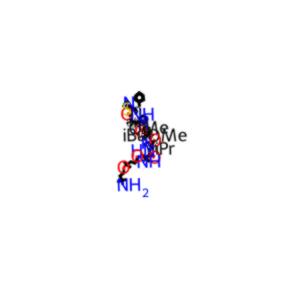 CC[C@H](C)[C@@H]([C@@H](CC(=O)N1CCC[C@H]1[C@H](OC)[C@@H](C)C(=O)N[C@@H](Cc1ccccc1)c1nccs1)OC)N(C)C(=O)[C@@H](NC(=O)C(C)(C)NC(=O)CCC(C)(C)OCCC(C)(C)N)C(C)C